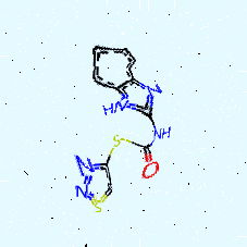 O=C(Nc1nc2ccccc2[nH]1)Sc1csnn1